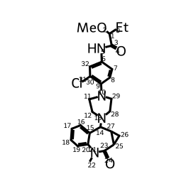 CCC(OC)C(=O)Nc1ccc(N2CCN(C3c4ccccc4N(C)C(=O)C4CC43)CC2)c(Cl)c1